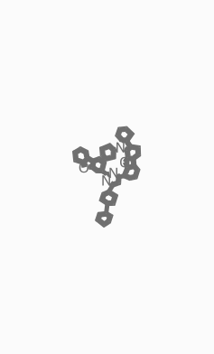 c1ccc(-c2ccc(-c3cc(-c4cccc5c4oc4c5ccc5c6ccccc6n(-c6ccccc6)c54)nc(-c4ccc5c(c4)oc4ccccc45)n3)cc2)cc1